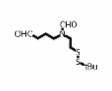 CC(C)(C)SSCCN(C=O)CCCC=O